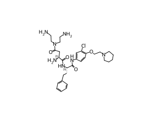 NCCN(CCN)C(=O)C[C@H](N)C(=O)N[C@@H](CCc1ccccc1)C(=O)Nc1ccc(OCCN2CCCCC2)c(Cl)c1